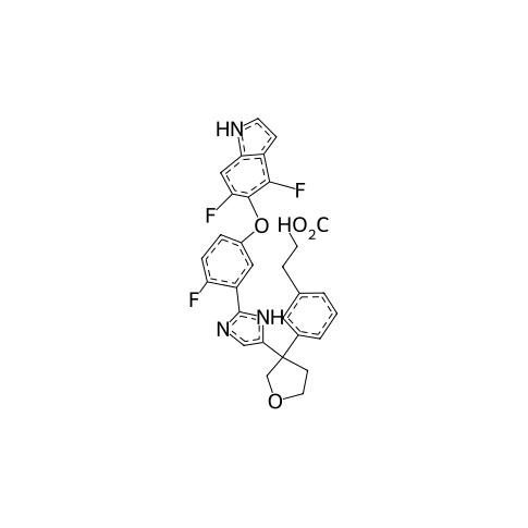 O=C(O)CCc1cccc(C2(c3cnc(-c4cc(Oc5c(F)cc6[nH]ccc6c5F)ccc4F)[nH]3)CCOC2)c1